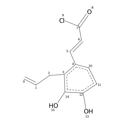 C=CCc1c(C=CC(=O)Cl)ccc(O)c1O